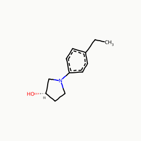 CCc1ccc(N2CC[C@H](O)C2)cc1